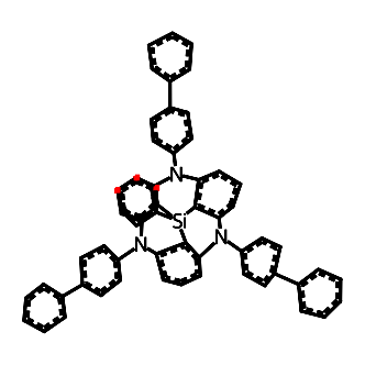 c1ccc(-c2ccc(N3c4cccc5c4[Si]4(c6ccccc6)c6c3cccc6N(c3ccc(-c6ccccc6)cc3)c3cccc(c34)N5c3ccc(-c4ccccc4)cc3)cc2)cc1